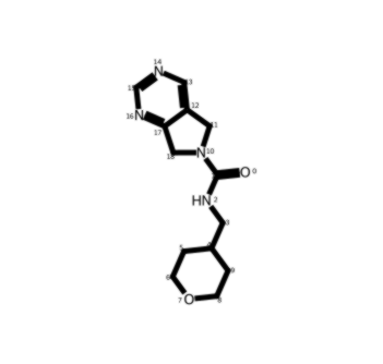 O=C(NCC1CCOCC1)N1Cc2cncnc2C1